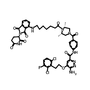 C[C@@H]1CN(C(=O)c2ccc(NC(=O)c3cc(OCCc4c(Cl)ccc(F)c4Cl)c(N)nn3)cc2)C[C@H](C)N1C(=O)CCCCCCNc1cccc2c1C(=O)N([C@@H]1CCC(=O)NC1=O)C2=O